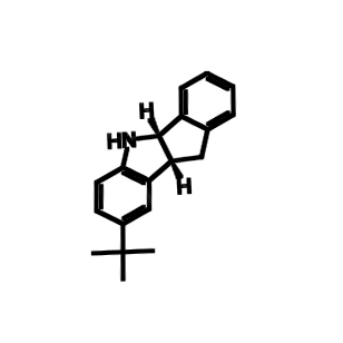 CC(C)(C)c1ccc2c(c1)[C@H]1Cc3ccccc3[C@H]1N2